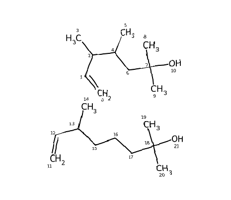 C=CC(C)C(C)CC(C)(C)O.C=CC(C)CCCC(C)(C)O